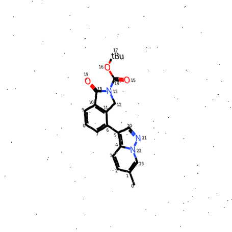 Cc1ccc2c(-c3cccc4c3CN(C(=O)OC(C)(C)C)C4=O)cnn2c1